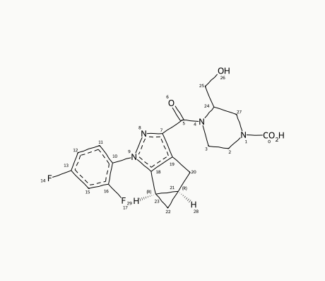 O=C(O)N1CCN(C(=O)c2nn(-c3ccc(F)cc3F)c3c2C[C@H]2C[C@@H]32)C(CO)C1